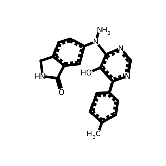 Cc1ccc(-c2ncnc(N(N)c3ccc4c(c3)C(=O)NC4)c2O)cc1